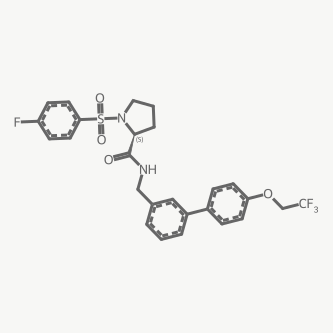 O=C(NCc1cccc(-c2ccc(OCC(F)(F)F)cc2)c1)[C@@H]1CCCN1S(=O)(=O)c1ccc(F)cc1